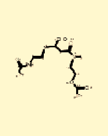 CC(C)C(=O)NCCSC(C=O)CC(=O)N(C)CCOC(=O)C(C)C